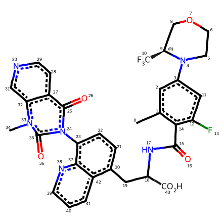 Cc1cc(N2CCOC[C@@H]2C(F)(F)F)cc(F)c1C(=O)NC(Cc1ccc(-n2c(=O)c3ccncc3n(C)c2=O)c2ncccc12)C(=O)O